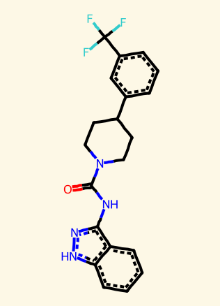 O=C(Nc1n[nH]c2ccccc12)N1CCC(c2cccc(C(F)(F)F)c2)CC1